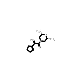 C[C@@H]1CN(C(=O)C(=N)C2=CCCC2)C[C@H](C)O1